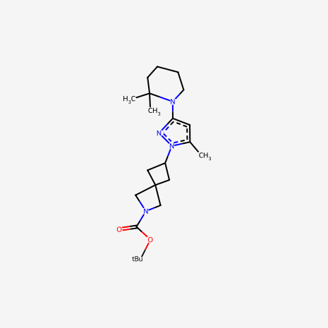 Cc1cc(N2CCCCC2(C)C)nn1C1CC2(C1)CN(C(=O)OC(C)(C)C)C2